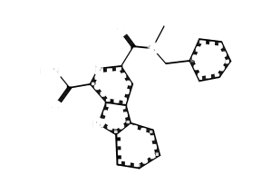 CN(Cc1ccccc1)C(=O)c1cc2c([nH]c3ccccc32)c(C(N)=O)n1